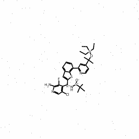 CC[Si](CC)(CC)OC(C)(C)c1ccnc(-c2cccc3cc([C@H](N[S+]([O-])C(C)(C)C)c4c(Cl)cnc(N)c4F)sc23)c1